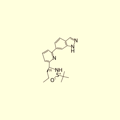 CCC[C@H](N[S+]([O-])C(C)(C)C)c1cccc(-c2ccc3cn[nH]c3c2)n1